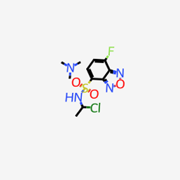 CC(Cl)NS(=O)(=O)c1ccc(F)c2nonc12.CN(C)C